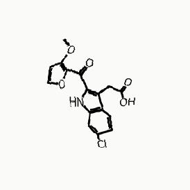 COc1ccoc1C(=O)c1[nH]c2cc(Cl)ccc2c1CC(=O)O